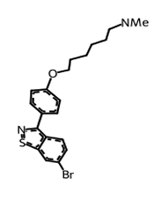 CNCCCCCCOc1ccc(-c2nsc3cc(Br)ccc23)cc1